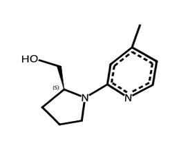 Cc1ccnc(N2CCC[C@H]2CO)c1